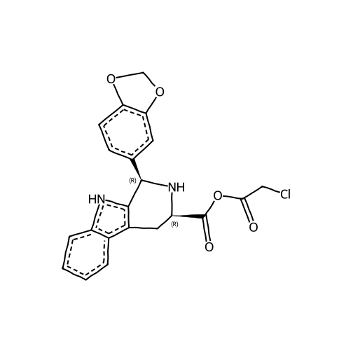 O=C(CCl)OC(=O)[C@H]1Cc2c([nH]c3ccccc23)[C@@H](c2ccc3c(c2)OCO3)N1